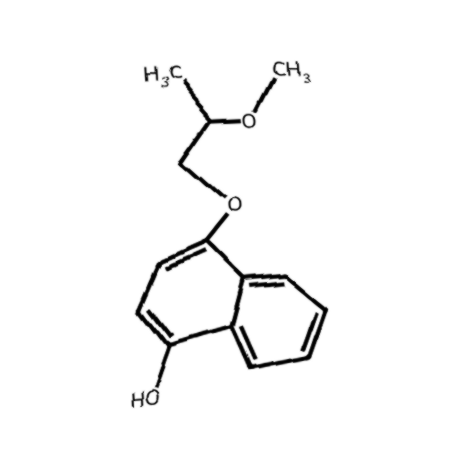 COC(C)COc1ccc(O)c2ccccc12